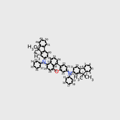 CC1(C)c2ccccc2-c2ccc(N(c3ccccc3)c3ccc4c(c3)Oc3ccc(N(c5ccccc5)c5ccc6c(c5)C(C)(C)c5ccccc5-6)c5cccc-4c35)cc21